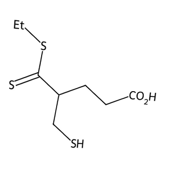 CCSC(=S)C(CS)CCC(=O)O